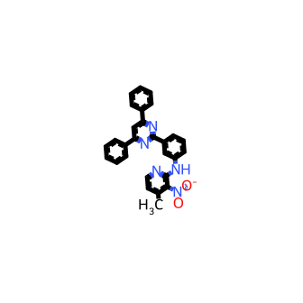 Cc1ccnc(Nc2cccc(-c3nc(-c4ccccc4)cc(-c4ccccc4)n3)c2)c1[N+](=O)[O-]